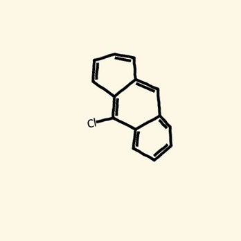 Clc1c2ccccc2cc2ccccc12